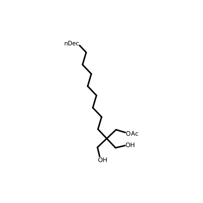 CCCCCCCCCCCCCCCCCCC(CO)(CO)COC(C)=O